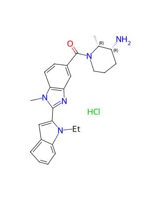 CCn1c(-c2nc3cc(C(=O)N4CCC[C@@H](N)[C@H]4C)ccc3n2C)cc2ccccc21.Cl